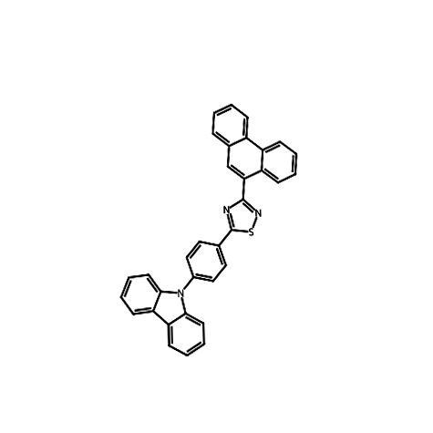 c1ccc2c(c1)cc(-c1nsc(-c3ccc(-n4c5ccccc5c5ccccc54)cc3)n1)c1ccccc12